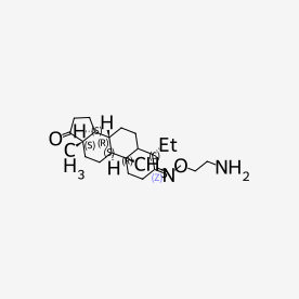 CC[C@@H]1/C(=N\OCCN)CC[C@@]2(C)C1CC[C@@H]1[C@@H]2CC[C@]2(C)C(=O)CC[C@@H]12